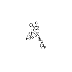 O=C(CNCCOc1ccc(F)c(F)c1)N1CCc2nc(C3CCC3)n(-c3ccccc3)c(=O)c2C1S.O=C(O)C(F)(F)F